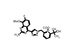 COc1c(F)ccc2c(-c3cn(Cc4cccc(C(C)(C)O)[n+]4C(=O)[O-])nn3)nc(N)nc12